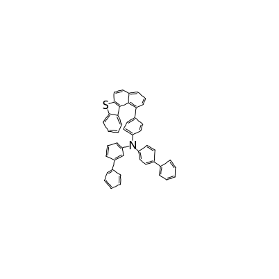 c1ccc(-c2ccc(N(c3ccc(-c4cccc5ccc6sc7ccccc7c6c45)cc3)c3cccc(-c4ccccc4)c3)cc2)cc1